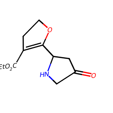 CCOC(=O)C1=C(C2CC(=O)CN2)OCC1